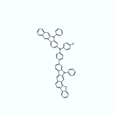 Fc1ccc(N(c2ccc(-c3ccc4c5cc6ccc7c8ccccc8sc7c6cc5n(-c5ccccc5)c4c3)cc2)c2ccc3c4cc5ccccc5cc4n(-c4ccccc4)c3c2)cc1